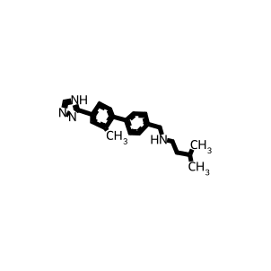 Cc1cc(-c2nnc[nH]2)ccc1-c1ccc(CNCCC(C)C)cc1